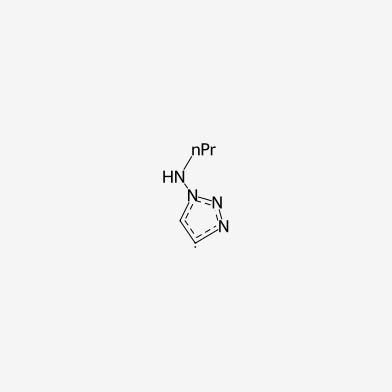 CCCNn1c[c]nn1